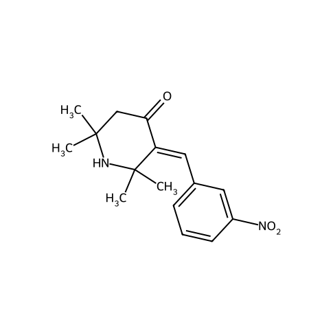 CC1(C)CC(=O)/C(=C/c2cccc([N+](=O)[O-])c2)C(C)(C)N1